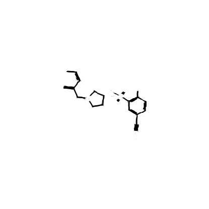 C=C(/C=C\C)CN1CC[C@@H](NS(=O)(=O)c2cc(C#N)ccc2Cl)C1